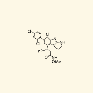 CCCC(CC(=O)NOC)c1cc(-c2ccc(Cl)cc2Cl)c(Cl)c2nc3n(c12)CCCN3